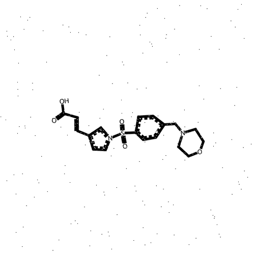 O=C(O)C=Cc1ccn(S(=O)(=O)c2ccc(CN3CCOCC3)cc2)c1